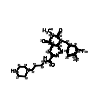 Cn1c(=O)c2nc(C(=O)NCCCN3CCNCC3)nnc2n(Cc2ccc(F)c(F)c2)c1=O